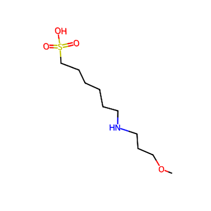 COCCCNCCCCCCS(=O)(=O)O